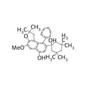 COc1cc2c(O)cc(C3(O)CC(C)(C)CC(C)(C)C3)c(-c3ccccc3)c2c2c1OC(C)(C)C2